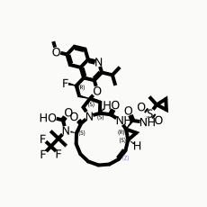 COc1ccc2nc(C(C)C)c3c(c2c1)[C@H](F)C[C@]1(C[C@H]2C(=O)N[C@]4(C(=O)NS(=O)(=O)C5(C)CC5)C[C@H]4/C=C\CCCCC[C@H](N(C(=O)O)C(C)(C)C(F)(F)F)C(=O)N2C1)O3